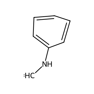 [CH]Nc1ccccc1